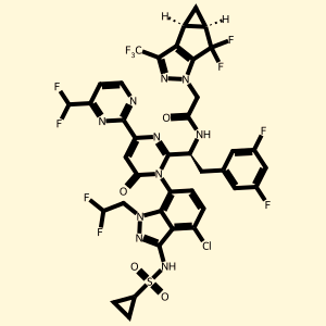 O=C(Cn1nc(C(F)(F)F)c2c1C(F)(F)[C@@H]1C[C@H]21)N[C@@H](Cc1cc(F)cc(F)c1)c1nc(-c2nccc(C(F)F)n2)cc(=O)n1-c1ccc(Cl)c2c(NS(=O)(=O)C3CC3)nn(CC(F)F)c12